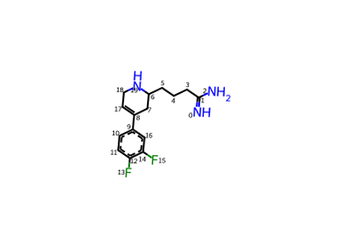 N=C(N)CCCC1CC(c2ccc(F)c(F)c2)=CCN1